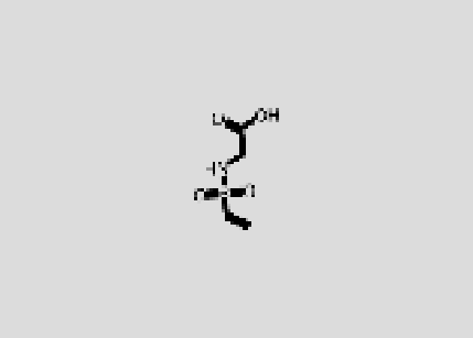 C=CS(=O)(=O)NCC(=O)O